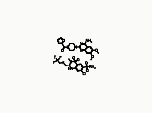 CN1[C@@H](CSCC(F)(F)F)Nc2cc(Cl)c(S(N)(=O)=O)cc2S1(=O)=O.COc1cc2nc(N3CCN(C(=O)c4ccco4)CC3)nc(N)c2cc1OC